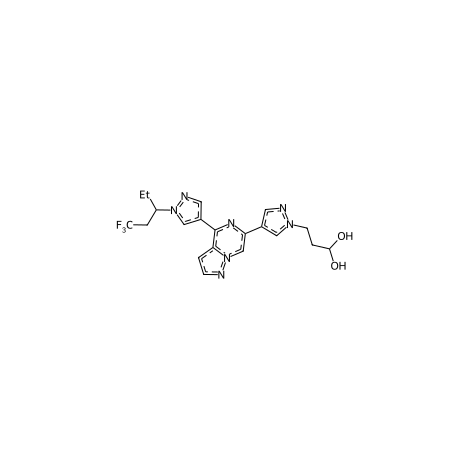 CCC(CC(F)(F)F)n1cc(-c2nc(-c3cnn(CCC(O)O)c3)cn3nccc23)cn1